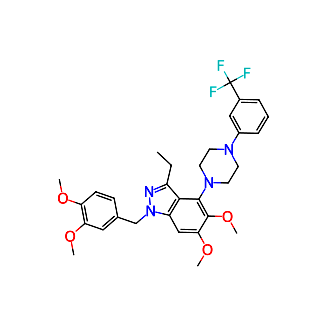 CCc1nn(Cc2ccc(OC)c(OC)c2)c2cc(OC)c(OC)c(N3CCN(c4cccc(C(F)(F)F)c4)CC3)c12